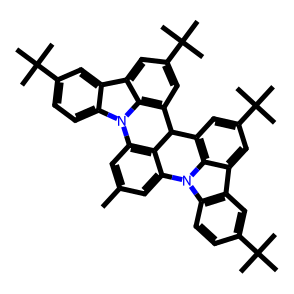 Cc1cc2c3c(c1)-n1c4ccc(C(C)(C)C)cc4c4cc(C(C)(C)C)cc(c41)C3c1cc(C(C)(C)C)cc3c4cc(C(C)(C)C)ccc4n-2c13